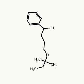 CCC(C)(C)OCCCC(O)c1ccccc1